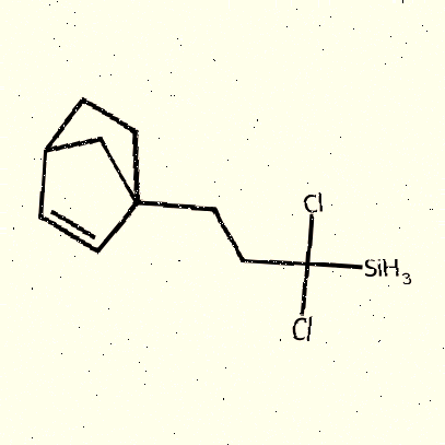 [SiH3]C(Cl)(Cl)CCC12C=CC(CC1)C2